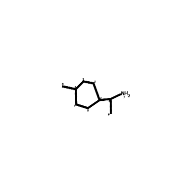 CC1CCC(C(C)N)CC1